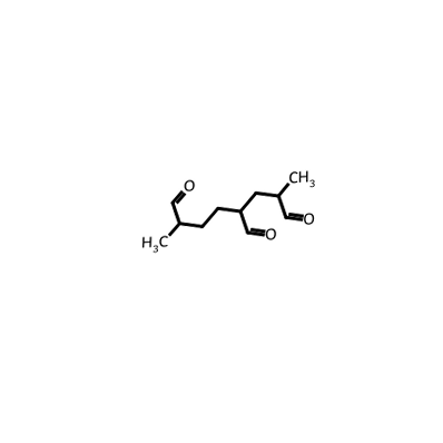 CC(C=O)CCC(C=O)CC(C)C=O